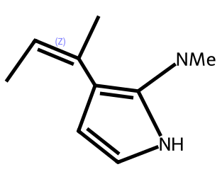 C/C=C(/C)c1cc[nH]c1NC